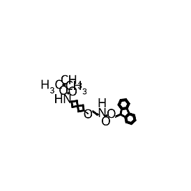 CC(C)(C)OC(=O)N[C@H]1CC2(C1)C[C@H](OCCNC(=O)OCC1c3ccccc3-c3ccccc31)C2